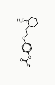 CCC(=O)Oc1ccc(OCCC2CCCCN2C)cc1